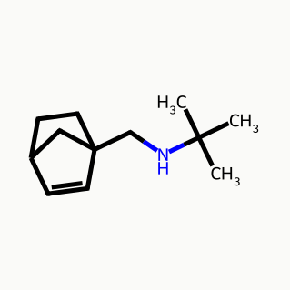 CC(C)(C)NCC12C=CC(CC1)C2